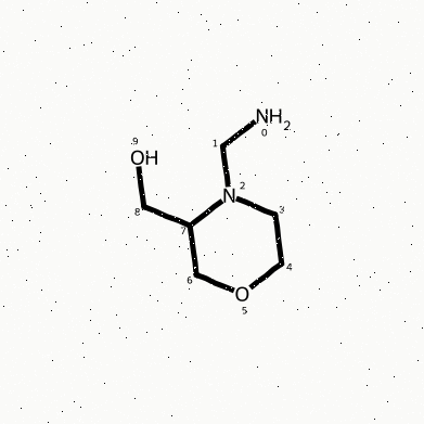 NCN1CCOCC1CO